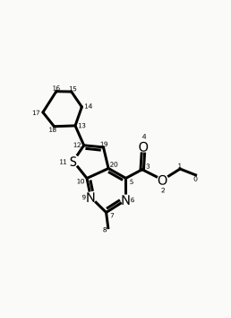 CCOC(=O)c1nc(C)nc2sc(C3CCCCC3)cc12